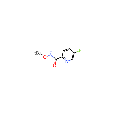 CC(C)(C)ONC(=O)c1ccc(F)cn1